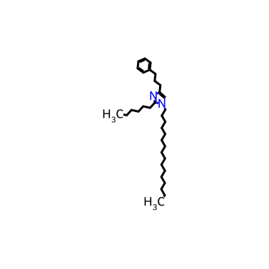 CCCCCCCCCCCCCCCCn1cc(CCCc2ccccc2)nc1CCCCCC